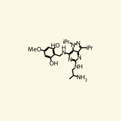 COc1cc(O)c(CNc2nc(NCC(C)N)nc3c(C(C)C)nn(C(C)C)c23)c(O)c1